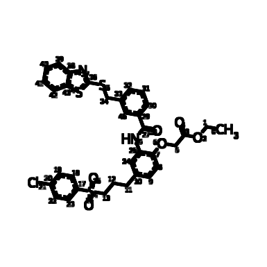 CCOC(=O)COc1ccc(CCCS(=O)(=O)c2ccc(Cl)cc2)cc1NC(=O)c1cccc(CSc2nc3ccccc3s2)c1